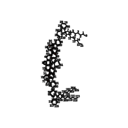 CCCCCCCCC1(CCCCCCCC)c2ccccc2-c2ccc(-c3ccc4c(c3)C(C)(C)c3cc(-c5ccc6c(c5)N(c5c(-c7ccc(-c8ccccc8)cc7)cccc5-c5ccc(-c7ccccc7)cc5)c5cc(-c7ccc8c(c7)C(C)(C)c7cc(-c9ccc%10c(c9)C(CCCCCCCC)(CCCCCCCC)c9ccccc9-%10)ccc7-8)ccc5O6)ccc3-4)cc21